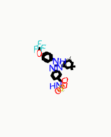 C[C@H]1C[C@@H](n2c(Nc3ccc(OC(F)(F)F)cc3)nc3ccc(C(=O)NS(C)(=O)=O)cc32)CC(C)(C)C1